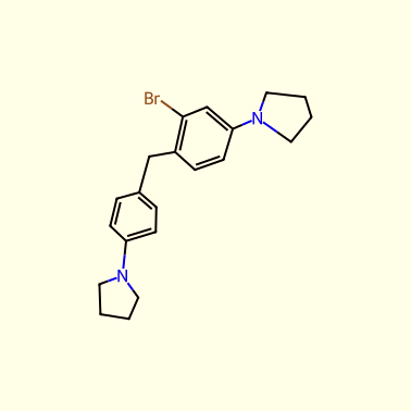 Brc1cc(N2CCCC2)ccc1Cc1ccc(N2CCCC2)cc1